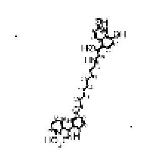 O=C(O)NC(c1cccc(OCCCCCCCCCNCC(O)c2ccc(O)c3[nH]c(=O)ccc23)c1)c1ccccn1